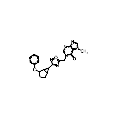 Cn1cnc2ncn(Cc3nc(C4C5CCC(Oc6ccccc6)C54)no3)c(=O)c21